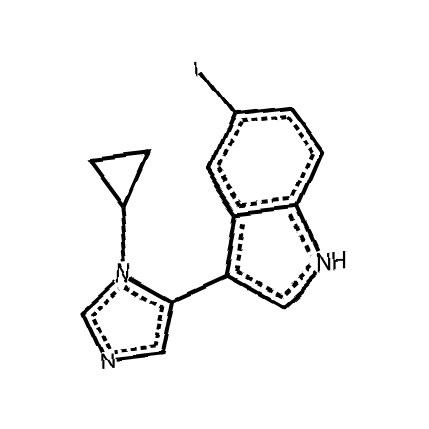 Ic1ccc2[nH]cc(-c3cncn3C3CC3)c2c1